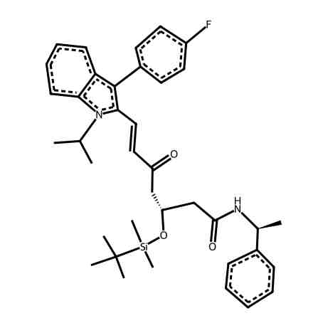 CC(C)n1c(/C=C/C(=O)C[C@H](CC(=O)N[C@@H](C)c2ccccc2)O[Si](C)(C)C(C)(C)C)c(-c2ccc(F)cc2)c2ccccc21